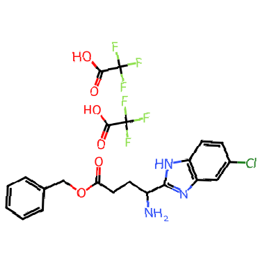 NC(CCC(=O)OCc1ccccc1)c1nc2cc(Cl)ccc2[nH]1.O=C(O)C(F)(F)F.O=C(O)C(F)(F)F